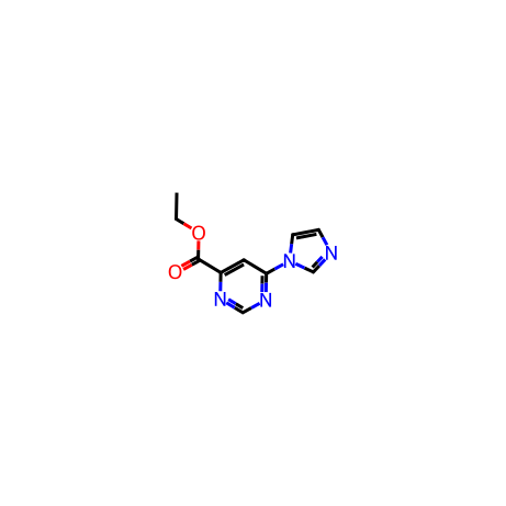 CCOC(=O)c1cc(-n2ccnc2)ncn1